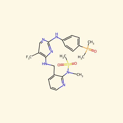 CN(c1ncccc1CNc1nc(Nc2ccc(P(C)(C)=O)cc2)ncc1C(F)(F)F)S(C)(=O)=O